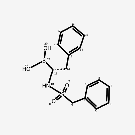 O=S(=O)(Cc1ccccc1)N[C@@H](Cc1ccccc1)B(O)O